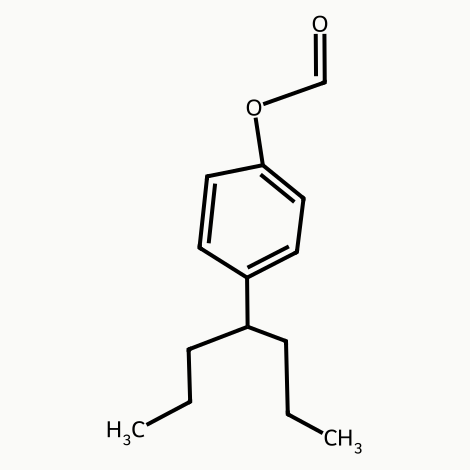 CCCC(CCC)c1ccc(OC=O)cc1